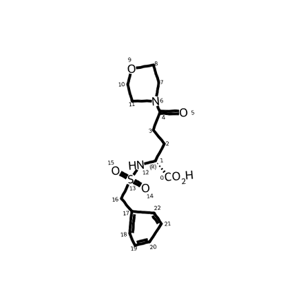 O=C(O)[C@@H](CCC(=O)N1CCOCC1)NS(=O)(=O)Cc1ccccc1